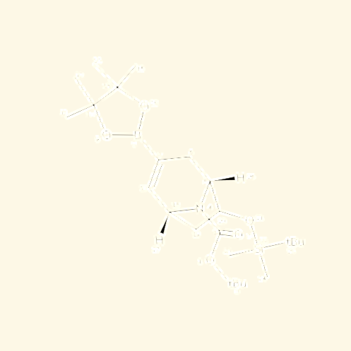 CC(C)(C)OC(=O)N1[C@@H]2CC(B3OC(C)(C)C(C)(C)O3)=C[C@H]1CC2O[Si](C)(C)C(C)(C)C